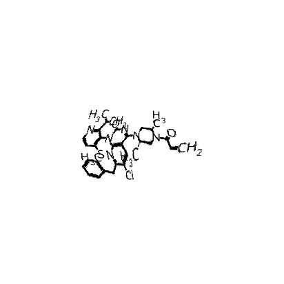 C=CC(=O)N1C[C@H](C)N(c2nc(=O)n(-c3c(SC)ccnc3C(C)C)c3nc(Cc4ccccc4)c(Cl)cc23)C[C@H]1C